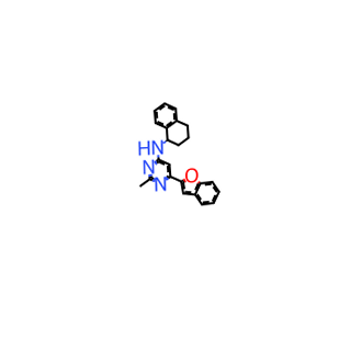 Cc1nc(N[C@@H]2CCCc3ccccc32)cc(-c2cc3ccccc3o2)n1